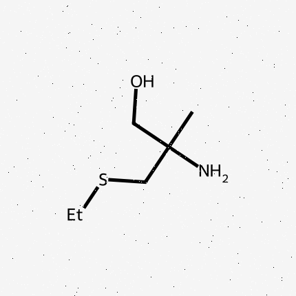 CCSCC(C)(N)CO